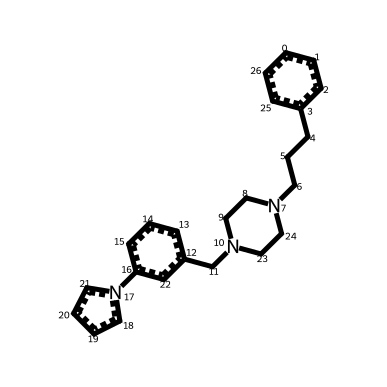 c1ccc(CCCN2CCN(Cc3cccc(-n4cccc4)c3)CC2)cc1